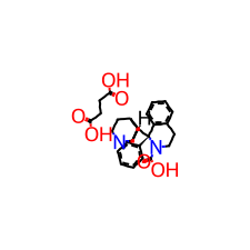 O=C(O)CCC(=O)O.O=C(O)N1CCc2ccccc2[C@@]1(c1ccccc1)[C@H]1CN2CCC1CC2